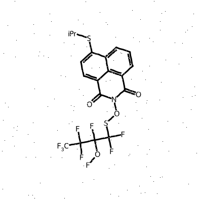 CC(C)Sc1ccc2c3c(cccc13)C(=O)N(OSC(F)(F)C(F)(OF)C(F)(F)C(F)(F)F)C2=O